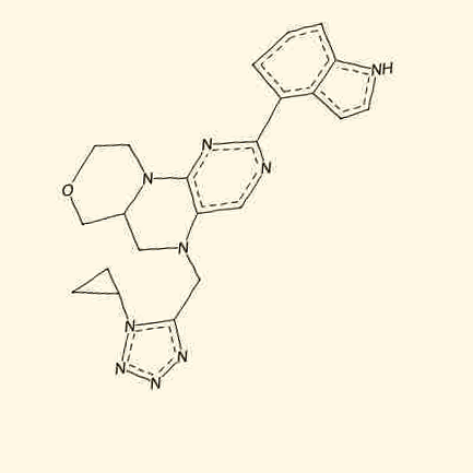 c1cc(-c2ncc3c(n2)N2CCOCC2CN3Cc2nnnn2C2CC2)c2cc[nH]c2c1